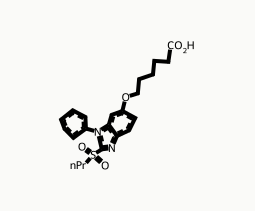 CCCS(=O)(=O)c1nc2ccc(OCCCCCC(=O)O)cc2n1-c1ccccc1